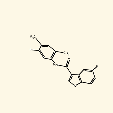 Cc1cc(C)c(NC(=O)c2nsc3ccc(F)cc23)cc1F